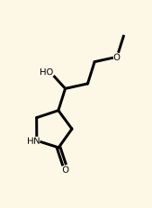 COCCC(O)C1CNC(=O)C1